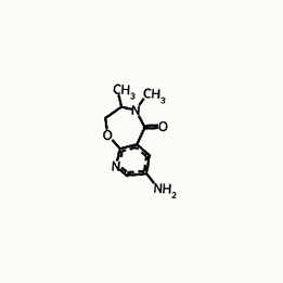 CC1COc2ncc(N)cc2C(=O)N1C